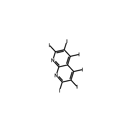 Ic1nc2nc(I)c(I)c(I)c2c(I)c1I